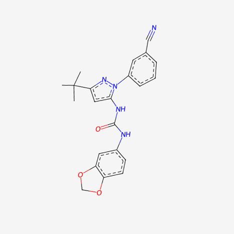 CC(C)(C)c1cc(NC(=O)Nc2ccc3c(c2)OCO3)n(-c2cccc(C#N)c2)n1